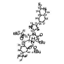 CC(C)(C)OC(=O)N[C@H](CN(C(=O)OC(C)(C)C)c1ncc(-c2ccc3cnc(F)cc3c2)s1)[C@@H](O[Si](C)(C)C(C)(C)C)c1ccc(C(C)(F)F)cc1